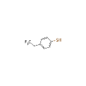 FC(F)(F)Cc1ccc(S)cc1